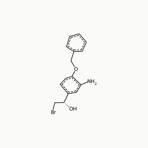 Nc1cc([C@H](O)CBr)ccc1OCc1ccccc1